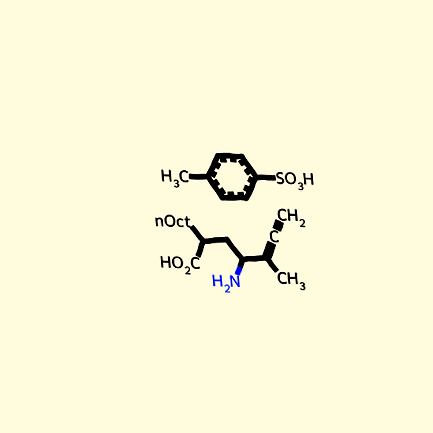 C=C=C(C)C(N)CC(CCCCCCCC)C(=O)O.Cc1ccc(S(=O)(=O)O)cc1